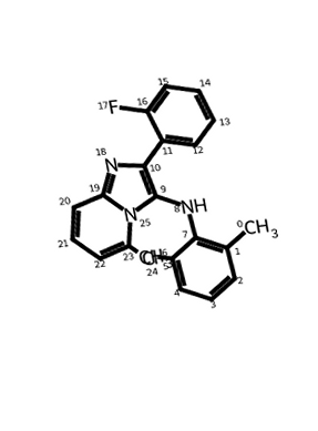 Cc1cccc(Cl)c1Nc1c(-c2ccccc2F)nc2cccc(C)n12